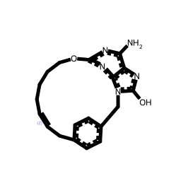 Nc1nc2nc3c1nc(O)n3Cc1ccc(cc1)C/C=C\CCCCO2